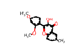 COc1ccc(-c2oc3ccc(C)cc3c(=O)c2O)c(OC)c1